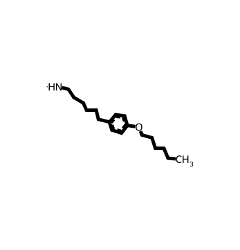 CCCCCCOc1ccc(CCCCCC[NH])cc1